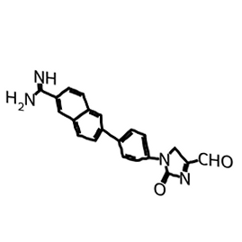 N=C(N)c1ccc2cc(-c3ccc(N4CC(C=O)=NC4=O)cc3)ccc2c1